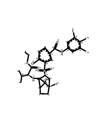 CCOC(=O)[C@@H](NC[C@@]1(O)C2CC[C@H]1C[C@H](S(=O)(=O)c1cc(C(=O)Nc3cc(F)c(F)c(F)c3)ccc1Cl)C2)C(C)C